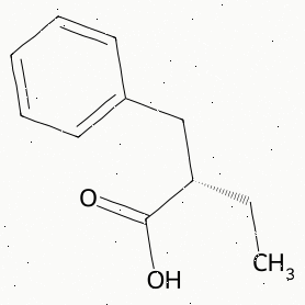 CC[C@@H](Cc1ccccc1)C(=O)O